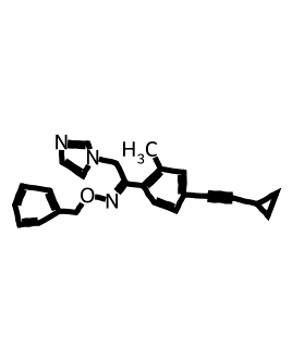 Cc1cc(C#CC2CC2)ccc1/C(Cn1ccnc1)=N/OCc1ccccc1